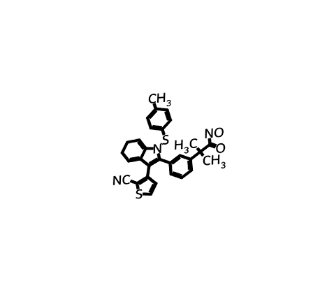 Cc1ccc(Sn2c(-c3cccc(C(C)(C)C(=O)N=O)c3)c(-c3ccsc3C#N)c3c2=CCCC=3)cc1